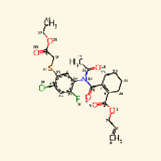 C=CCOC(=O)C1=C(C(=O)N(C(C)=O)c2cc(SCC(=O)OCC)c(Cl)cc2F)CCCC1